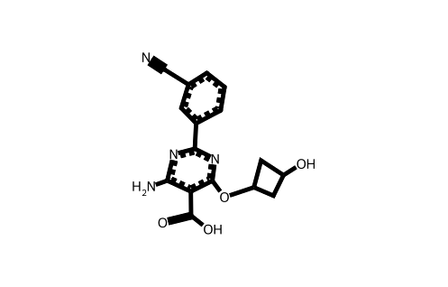 N#Cc1cccc(-c2nc(N)c(C(=O)O)c(OC3CC(O)C3)n2)c1